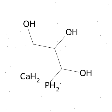 OCC(O)C(O)P.[CaH2]